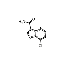 NC(=O)c1csc2c(Cl)ccnc12